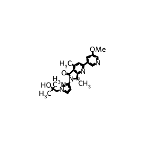 COc1cncc(-c2cc(C)c3c(n2)[C@@H](C)N(c2ccn(CC(C)(C)O)n2)C3=O)c1